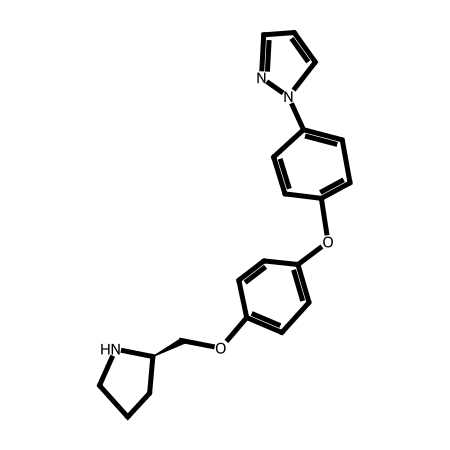 c1cnn(-c2ccc(Oc3ccc(OC[C@H]4CCCN4)cc3)cc2)c1